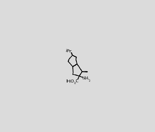 CC(C)C1CC2CC(N)(C(=O)O)C(C)C2C1